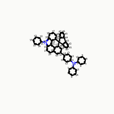 c1ccc(N(c2ccccc2)c2ccc(-c3cc4c5c(ccc6c5c5c(cccc5n6-c5ccccc5)C45c4ccccc4-c4ccccc45)c3)cc2)cc1